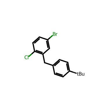 CC(C)(C)c1ccc(Cc2cc(Br)ccc2Cl)cc1